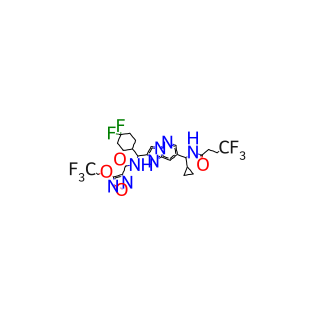 O=C(CCC(F)(F)F)N[C@@H](c1cnn2cc(C(NC(=O)c3nonc3OCC(F)(F)F)C3CCC(F)(F)CC3)nc2c1)C1CC1